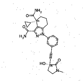 CN1CC[C@@](O)(C#Cc2cccc(-n3nc(C(N)=O)c4c3CCC[C@@]4(C(N)=O)C3CC3)c2)C1=O